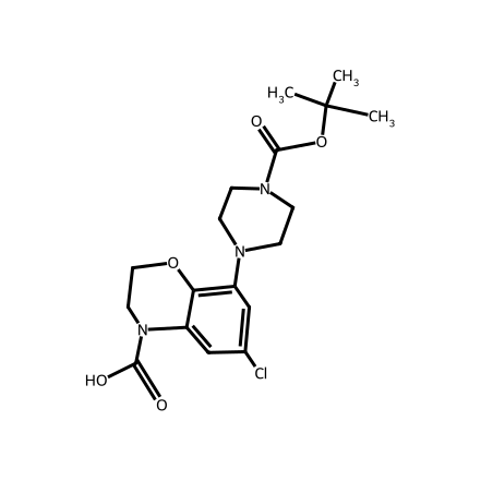 CC(C)(C)OC(=O)N1CCN(c2cc(Cl)cc3c2OCCN3C(=O)O)CC1